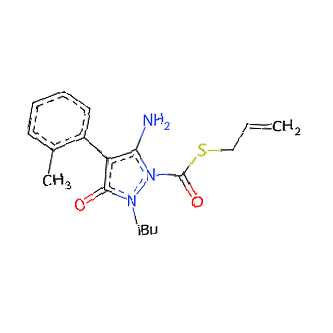 C=CCSC(=O)n1c(N)c(-c2ccccc2C)c(=O)n1C(C)CC